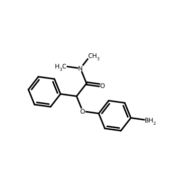 Bc1ccc(OC(C(=O)N(C)C)c2ccccc2)cc1